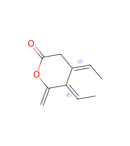 C=C1OC(=O)CC(=C/C)/C1=C\C